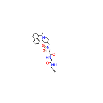 C#CCNC(=O)CNC(=O)CCN(CC1CCN(C(C)c2cccc3ccccc23)CC1)[SH](=O)=O